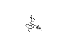 CCN(CC)c1cccc2c1-c1ccc(CS(N)(=O)=O)cc1C(c1cccc(OC)c1)O2